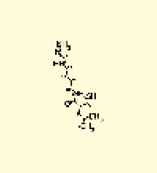 CC(C)CC(CS)C(=O)NCCCCNC=NN